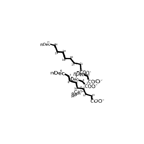 CCCCCCCCCCCC(=O)[O-].CCCCCCCCCCCC(=O)[O-].CCCCCCCCCCCCCCCCCC(=O)[O-].CCCCCCCCCCCCCCCCCC(=O)[O-].[Ba+2].[Ca+2]